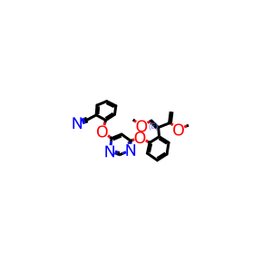 C=C(OC)/C(=C/OC)c1ccccc1Oc1cc(Oc2ccccc2C#N)ncn1